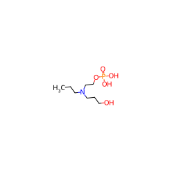 CCCN(CCCO)CCOP(=O)(O)O